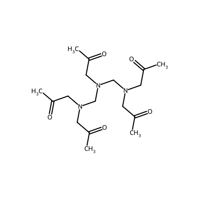 CC(=O)CN(CC(C)=O)CN(CC(C)=O)CN(CC(C)=O)CC(C)=O